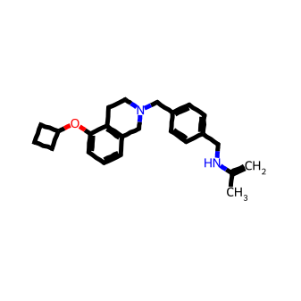 C=C(C)NCc1ccc(CN2CCc3c(cccc3OC3CCC3)C2)cc1